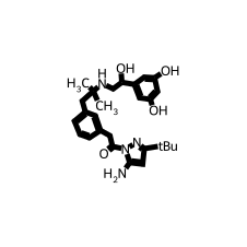 CC(C)(Cc1cccc(CC(=O)n2nc(C(C)(C)C)cc2N)c1)NCC(O)c1cc(O)cc(O)c1